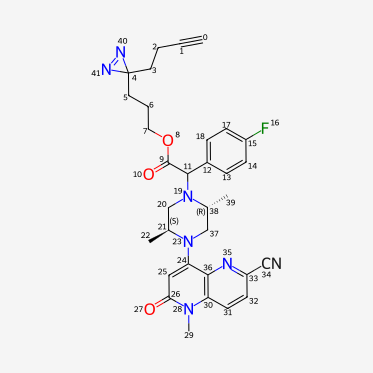 C#CCCC1(CCCOC(=O)C(c2ccc(F)cc2)N2C[C@H](C)N(c3cc(=O)n(C)c4ccc(C#N)nc34)C[C@H]2C)N=N1